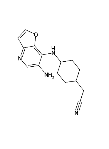 N#CCC1CCC(Nc2c(N)cnc3ccoc23)CC1